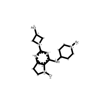 CC(=O)N1CCC(Nc2nc(N3CC(O)C3)nc3c2[S+]([O-])CC3)CC1